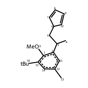 COc1c(C(C)CC2C=CC=C2)cc(C)cc1C(C)(C)C